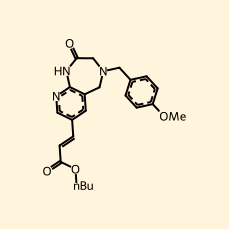 CCCCOC(=O)C=Cc1cnc2c(c1)CN(Cc1ccc(OC)cc1)CC(=O)N2